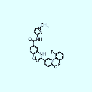 Cn1ccc(NC(=O)c2ccc(Cl)c(NC(=O)c3ccc(=O)n(-c4c(F)cccc4F)c3)c2)n1